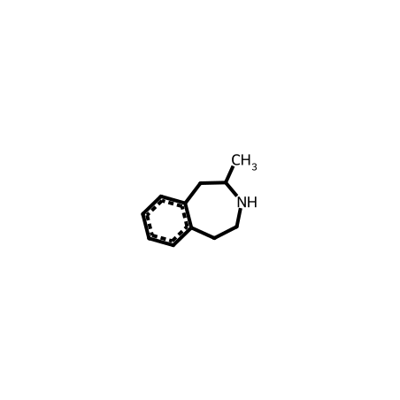 CC1Cc2ccccc2CCN1